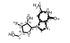 Nc1cc2c(ncn2C2O[C@H](CO)[C@@H](F)[C@H]2O)c(=O)[nH]1